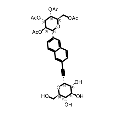 CC(=O)OC[C@H]1O[C@H](c2ccc3cc(C#C[C@H]4O[C@H](CO)[C@@H](O)[C@H](O)[C@H]4O)ccc3c2)[C@@H](OC(C)=O)[C@H](OC(C)=O)[C@@H]1OC(C)=O